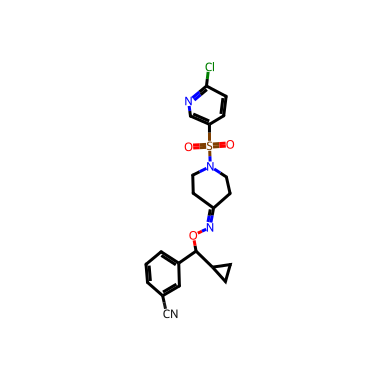 N#Cc1cccc(C(ON=C2CCN(S(=O)(=O)c3ccc(Cl)nc3)CC2)C2CC2)c1